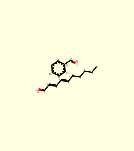 CCCCC/C=C/C=C/C=O.O=Cc1ccccc1